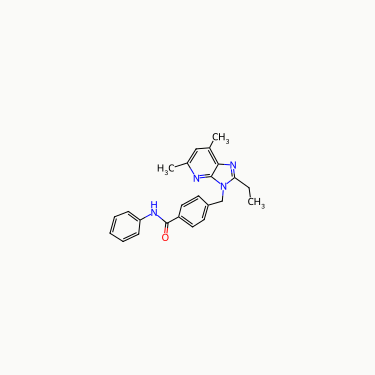 CCc1nc2c(C)cc(C)nc2n1Cc1ccc(C(=O)Nc2ccccc2)cc1